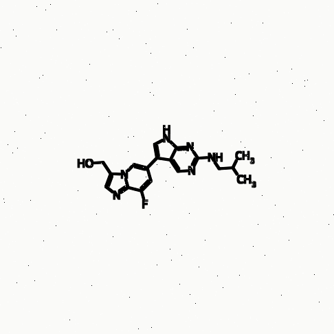 CC(C)CNc1ncc2c(-c3cc(F)c4ncc(CO)n4c3)c[nH]c2n1